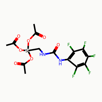 CC(=O)O[Si](CNC(=O)Nc1c(F)c(F)c(F)c(F)c1F)(OC(C)=O)OC(C)=O